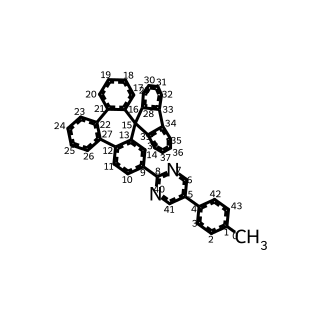 Cc1ccc(-c2cnc(-c3ccc4c(c3)C3(c5ccccc5-c5ccccc5-4)c4ccccc4-c4ccccc43)nc2)cc1